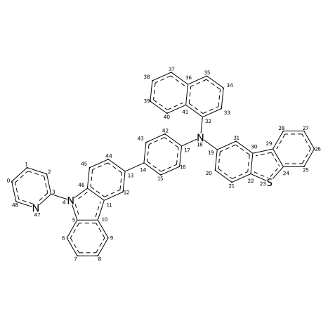 c1ccc(-n2c3ccccc3c3cc(-c4ccc(N(c5ccc6sc7ccccc7c6c5)c5cccc6ccccc56)cc4)ccc32)nc1